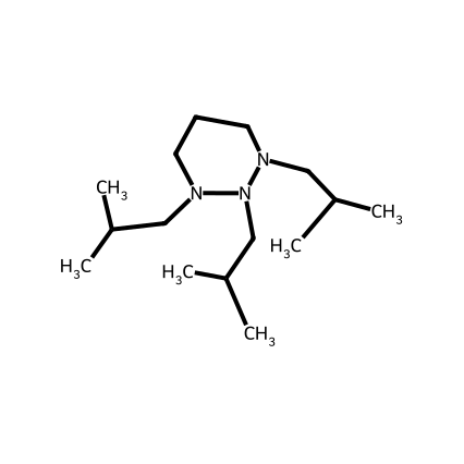 CC(C)CN1CCCN(CC(C)C)N1CC(C)C